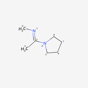 C/N=C(\C)N1CCCC1